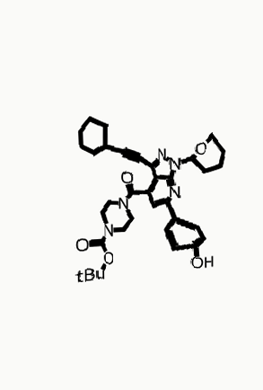 CC(C)(C)OC(=O)N1CCN(C(=O)c2cc(-c3ccc(O)cc3)nc3c2c(C#CC2CCCCC2)nn3C2CCCCO2)CC1